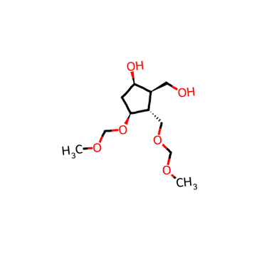 COCOC[C@H]1[C@H](CO)[C@H](O)C[C@@H]1OCOC